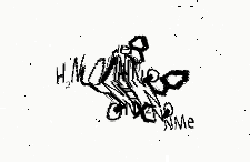 CNC(=O)N1CCC2(CC1)CN(C(=O)[C@@H](CCCCN)NC(=O)[C@@H](CC(C)C)NC(=O)[C@@H](Cc1ccccc1)NC(=O)[C@H](N)Cc1ccccc1)C2